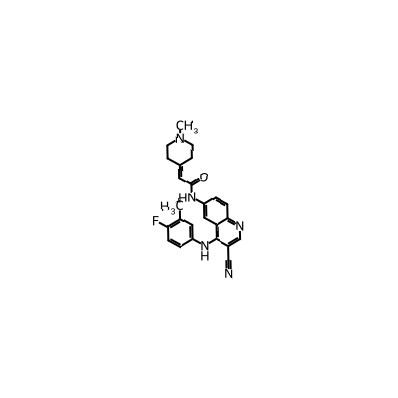 Cc1cc(Nc2c(C#N)cnc3ccc(NC(=O)C=C4CCN(C)CC4)cc23)ccc1F